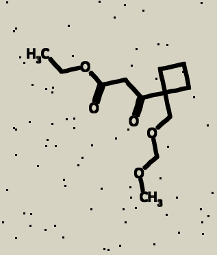 CCOC(=O)CC(=O)C1(COCOC)CCC1